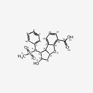 CS(=O)(=O)N(c1ccccc1)C1C(O)CC2Oc3c(C(=O)O)cccc3C21